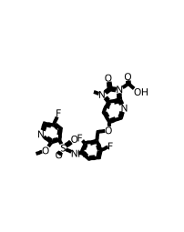 COc1ncc(F)cc1S(=O)(=O)Nc1ccc(F)c(COc2cnc3c(c2)n(C)c(=O)n3C(=O)O)c1F